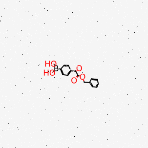 O=C(OCc1ccccc1)C(=O)c1ccc(B(O)O)cc1